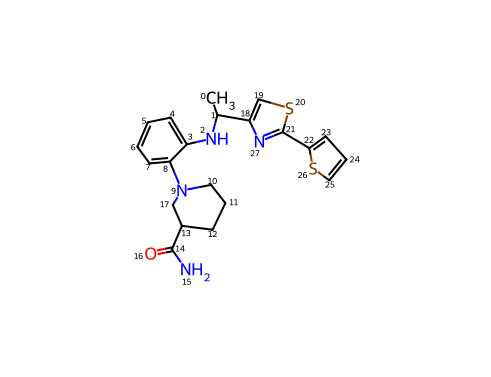 CC(Nc1ccccc1N1CCCC(C(N)=O)C1)c1csc(-c2cccs2)n1